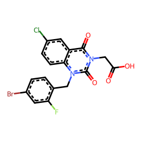 O=C(O)Cn1c(=O)c2cc(Cl)ccc2n(Cc2ccc(Br)cc2F)c1=O